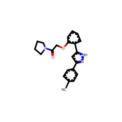 N#Cc1ccc(-c2cc(-c3ccccc3OCC(=O)N3CCCC3)[nH]n2)cc1